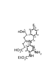 CCCCCCCCCCCCCCCC(=O)O.CCOC(=O)Nc1ccc(NCc2ccc(F)cc2)nc1N